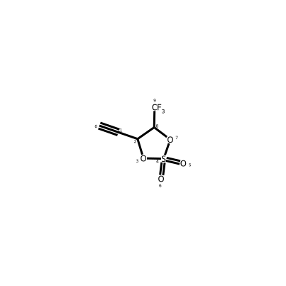 C#CC1OS(=O)(=O)OC1C(F)(F)F